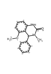 COc1cccc2c1C(c1ccccc1)N(C)C(=O)N2